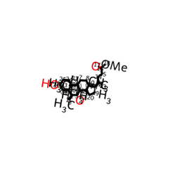 CC=C1C(=O)[C@@H]2[C@H](CC[C@]3(C)[C@@H]([C@H](C)CCC(=O)OC)CC[C@@H]23)[C@@]2(C)CC[C@@H](O)C[C@@H]12